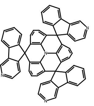 c1ccc2c(c1)-c1cnccc1C21c2cccc3c2N2c4c1cccc4C1(c4ccccc4-c4cnccc41)c1cccc(c12)C31c2ccccc2-c2cnccc21